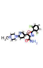 CN1CCN(c2ccc(-c3oc(-c4c(F)cccc4F)nc3C(N)=O)cn2)CC1